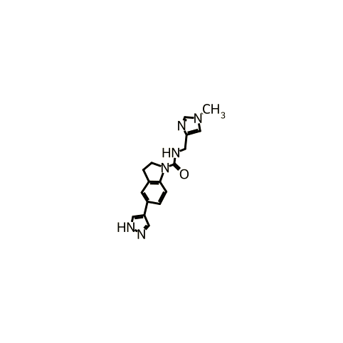 Cn1cnc(CNC(=O)N2CCc3cc(-c4cn[nH]c4)ccc32)c1